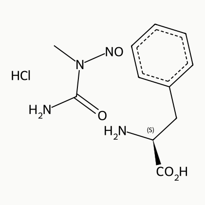 CN(N=O)C(N)=O.Cl.N[C@@H](Cc1ccccc1)C(=O)O